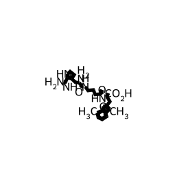 Cc1c(CC(NC(=O)CCCNC(=O)C(N)CC2=CCNC2C(=N)N)C(=O)O)oc2c(C)cccc12